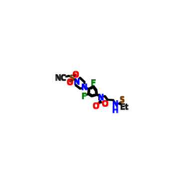 CCC(=S)NCC1CN(c2cc(F)c(N3CCN(S(=O)(=O)CC#N)CC3)c(F)c2)C(=O)O1